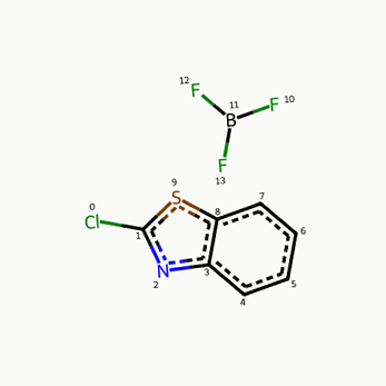 Clc1nc2ccccc2s1.FB(F)F